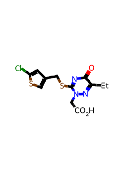 CCc1nn(CC(=O)O)c(SCc2csc(Cl)c2)nc1=O